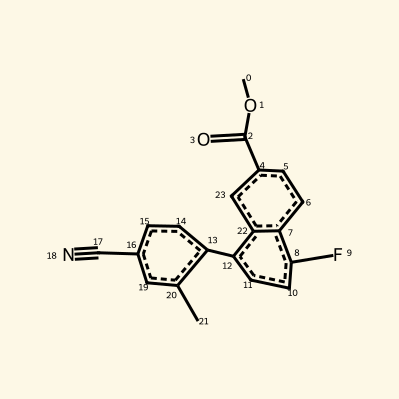 COC(=O)c1ccc2c(F)ccc(-c3ccc(C#N)cc3C)c2c1